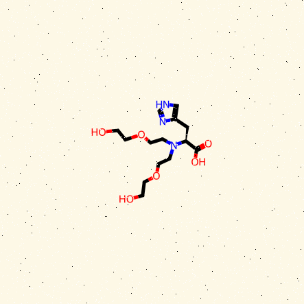 O=C(O)[C@H](Cc1c[nH]cn1)N(CCOCCO)CCOCCO